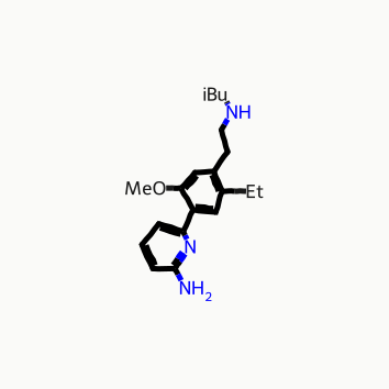 CCc1cc(-c2cccc(N)n2)c(OC)cc1CCNC(C)CC